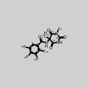 CC1(NC(=O)c2cc(F)c(F)c(F)c2F)C(=O)NC(=O)N(I)C1=O